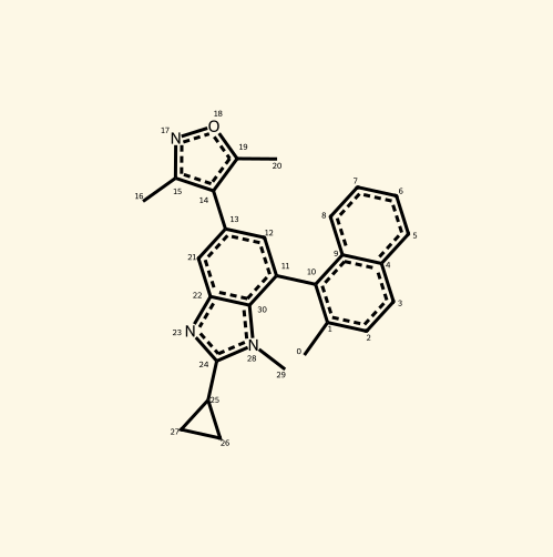 Cc1ccc2ccccc2c1-c1cc(-c2c(C)noc2C)cc2nc(C3CC3)n(C)c12